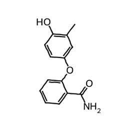 Cc1cc(Oc2ccccc2C(N)=O)ccc1O